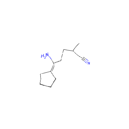 CC(C#N)CCC(N)=C1CCCC1